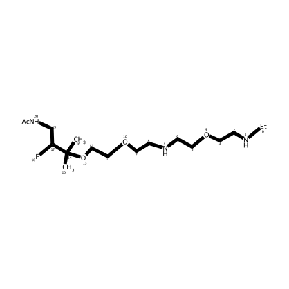 CCNCCOCCNCCOCCOC(C)(C)C(F)CNC(C)=O